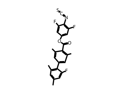 Cc1cc(C)c(-c2cc(C)c(C(=O)Oc3cc(F)c(N=C=S)c(F)c3)c(C)c2)c(F)c1